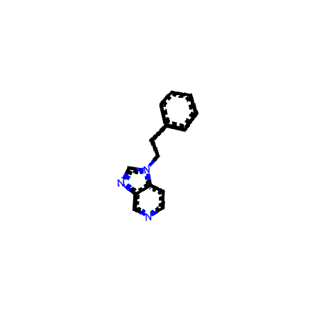 c1ccc(CCn2cnc3cnccc32)cc1